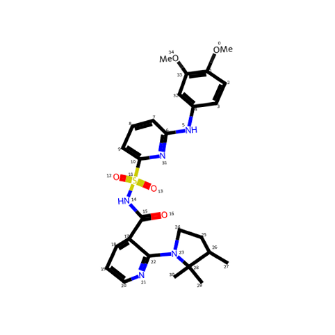 COc1ccc(Nc2cccc(S(=O)(=O)NC(=O)c3cccnc3N3CCC(C)C3(C)C)n2)cc1OC